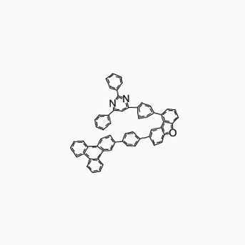 c1ccc(-c2cc(-c3ccc(-c4cccc5oc6ccc(-c7ccc(-c8ccc9c%10ccccc%10c%10ccccc%10c9c8)cc7)cc6c45)cc3)nc(-c3ccccc3)n2)cc1